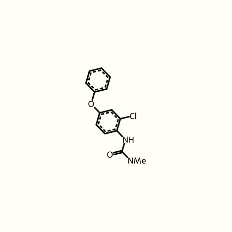 CNC(=O)Nc1ccc(Oc2ccccc2)cc1Cl